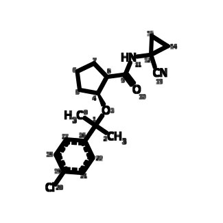 CC(C)(O[C@H]1CCCC1C(=O)NC1(C#N)CC1)c1ccc(Cl)cc1